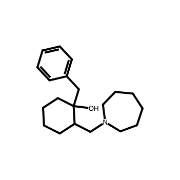 OC1(Cc2ccccc2)CCCCC1CN1CCCCCC1